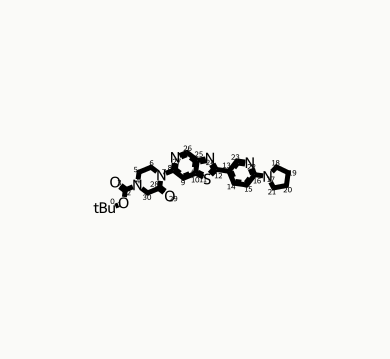 CC(C)(C)OC(=O)N1CCN(c2cc3sc(-c4ccc(N5CCCC5)nc4)nc3cn2)C(=O)C1